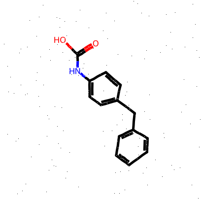 O=C(O)Nc1ccc(Cc2ccccc2)cc1